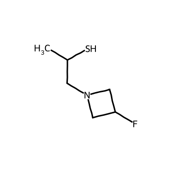 CC(S)CN1CC(F)C1